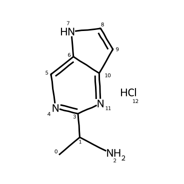 CC(N)c1ncc2[nH]ccc2n1.Cl